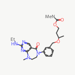 CCNc1ncc2c(n1)N(C)CCN(c1cccc(COC(C)CCOC(=O)NC)c1)C2=O